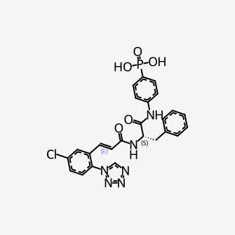 O=C(/C=C/c1cc(Cl)ccc1-n1cnnn1)N[C@@H](Cc1ccccc1)C(=O)Nc1ccc(P(=O)(O)O)cc1